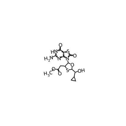 COC(=O)CC1SC(C(O)C2CC2)OC1n1c(=O)sc2c(=O)[nH]c(N)nc21